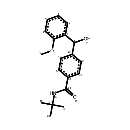 COc1ccccc1C(O)c1ccc(C(=O)NC(C)(C)C)cc1